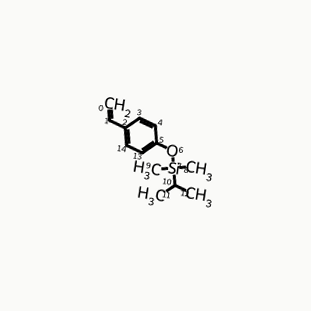 C=Cc1ccc(O[Si](C)(C)C(C)C)cc1